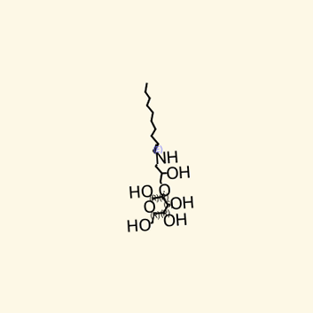 CCCCCCCC/C=C/NCC(O)CO[C@@H]1[C@@H](O)[C@@H](O)[C@@H](CO)O[C@H]1O